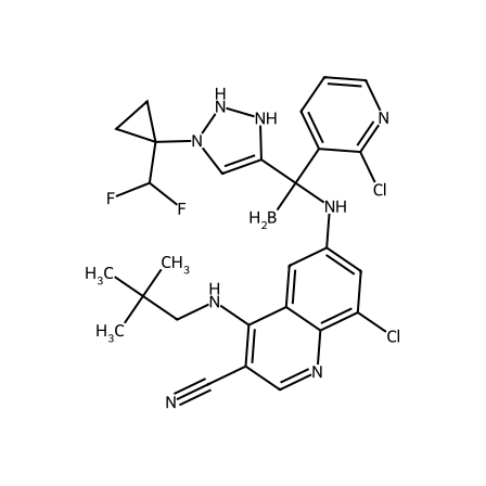 BC(Nc1cc(Cl)c2ncc(C#N)c(NCC(C)(C)C)c2c1)(C1=CN(C2(C(F)F)CC2)NN1)c1cccnc1Cl